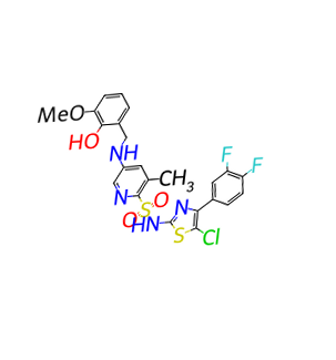 COc1cccc(CNc2cnc(S(=O)(=O)Nc3nc(-c4ccc(F)c(F)c4)c(Cl)s3)c(C)c2)c1O